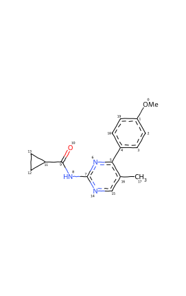 COc1ccc(-c2nc(NC(=O)C3CC3)ncc2C)cc1